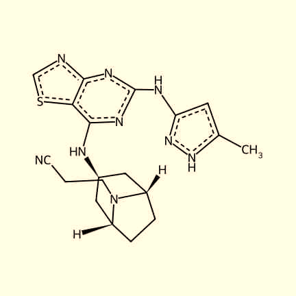 Cc1cc(Nc2nc(N[C@@H]3C[C@H]4CC[C@@H](C3)N4CCC#N)c3scnc3n2)n[nH]1